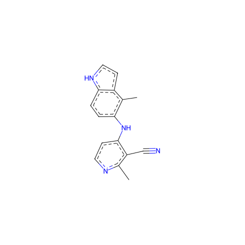 Cc1nccc(Nc2ccc3[nH]ccc3c2C)c1C#N